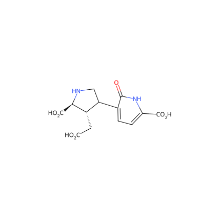 O=C(O)C[C@H]1C(c2ccc(C(=O)O)[nH]c2=O)CN[C@@H]1C(=O)O